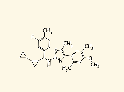 COc1cc(C)c(-c2nc(NC(c3ccc(C)c(F)c3)C3CC3C3CC3)sc2C)cc1C